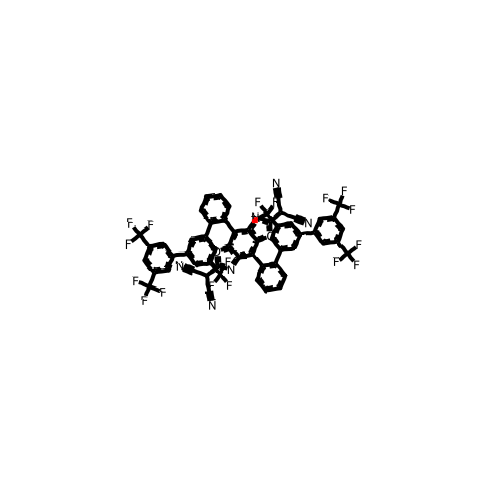 N#CC(C#N)c1nc2c(-c3ccccc3-c3cc(-c4cc(C(F)(F)F)cc(C(F)(F)F)c4)cc(C(F)(F)F)c3)c3oc(C(C#N)C#N)nc3c(-c3ccccc3-c3cc(-c4cc(C(F)(F)F)cc(C(F)(F)F)c4)cc(C(F)(F)F)c3)c2o1